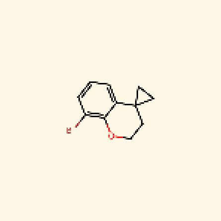 Brc1cccc2c1OCCC21CC1